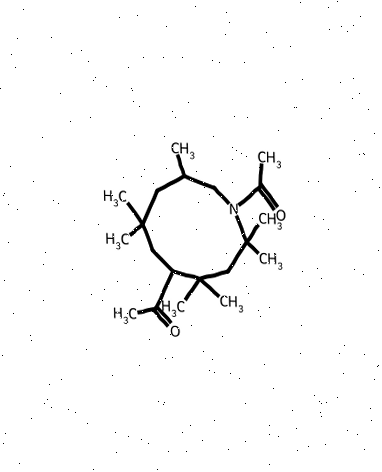 CC(=O)C1CC(C)(C)CC(C)CN(C(C)=O)C(C)(C)CC1(C)C